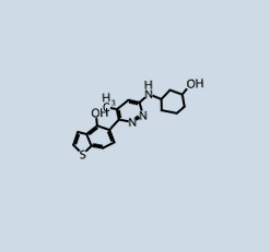 Cc1cc(NC2CCCC(O)C2)nnc1-c1ccc2sccc2c1O